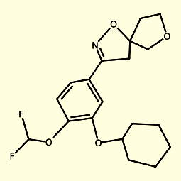 FC(F)Oc1ccc(C2=NOC3(CCOC3)C2)cc1OC1CCCCC1